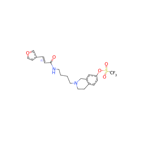 O=C(/C=C/c1ccoc1)NCCCCN1CCc2ccc(OS(=O)(=O)C(F)(F)F)cc2C1